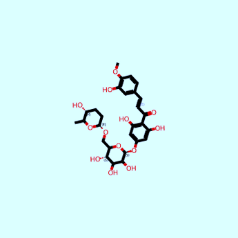 COc1ccc(/C=C/C(=O)c2c(O)cc(O[C@@H]3OC(CO[C@H]4CC[C@@H](O)C(C)O4)[C@@H](O)C(O)C3O)cc2O)cc1O